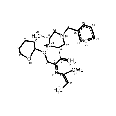 C=C(/C(COC1CCCCO1)=N\C(=C/C)OC)[C@H]1CN(Cc2ccccc2)C[C@@H](C)N1